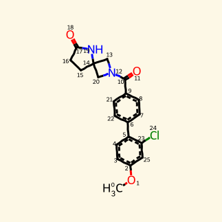 COc1ccc(-c2ccc(C(=O)N3CC4(CCC(=O)N4)C3)cc2)c(Cl)c1